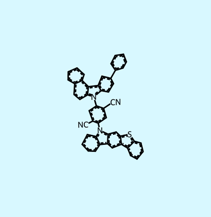 N#Cc1cc(-n2c3ccc(-c4ccccc4)cc3c3c4ccccc4ccc32)c(C#N)cc1-n1c2ccccc2c2cc3c(cc21)sc1ccccc13